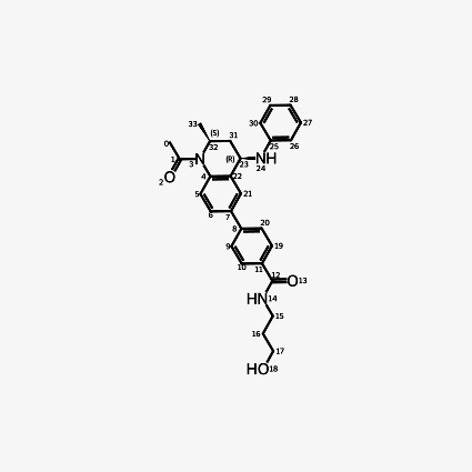 CC(=O)N1c2ccc(-c3ccc(C(=O)NCCCO)cc3)cc2[C@H](Nc2ccccc2)C[C@@H]1C